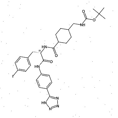 CC(C)(C)OC(=O)NCC1CCC(C(=O)N[C@@H](Cc2ccc(I)cc2)C(=O)Nc2ccc(-c3nnn[nH]3)cc2)CC1